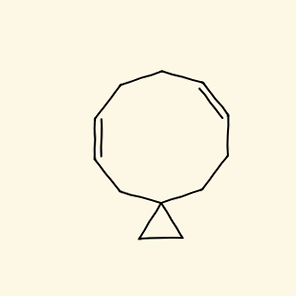 C1=CCCC2(CC=CCC1)CC2